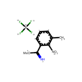 COC(=N)c1cccc(C)c1[N+](=O)[O-].F[B-](F)(F)F